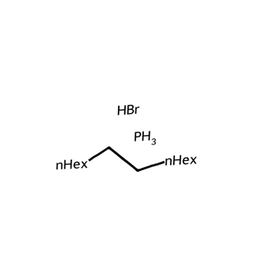 Br.CCCCCCCCCCCCCC.P